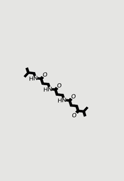 CC(C)CNC(=O)CCNC(=O)CCNC(=O)CCC(=O)C(C)C